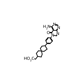 Nc1ncnc2ncn(-c3ccc(C4CCC5(CCC(CC(=O)O)CC5)CC4)cc3)c(=O)c12